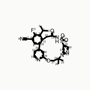 CC(C)c1c(F)c(C#N)cc2c1CC(=O)NS(=O)(=O)c1cnn(c1)C(C)(C)COc1cc-2ccn1